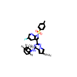 CCOC(=O)[C@H]1[C@H]2CC[C@H](CC2)[C@@H]1Nc1nc(-c2cn(S(=O)(=O)c3ccc(C)cc3)c3ncc(F)cc23)nn2cc(NC(C)=O)cc12